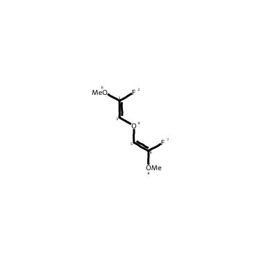 COC(F)=COC=C(F)OC